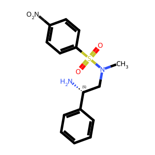 CN(C[C@@H](N)c1ccccc1)S(=O)(=O)c1ccc([N+](=O)[O-])cc1